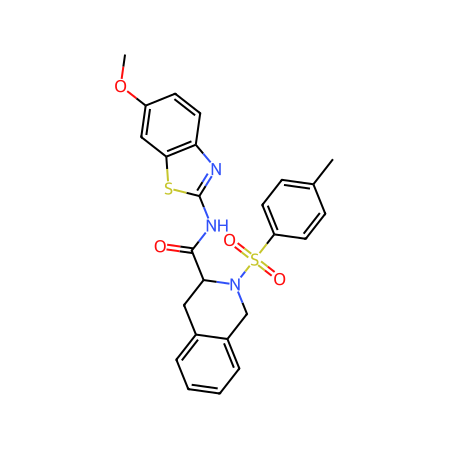 COc1ccc2nc(NC(=O)C3Cc4ccccc4CN3S(=O)(=O)c3ccc(C)cc3)sc2c1